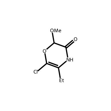 CCC1=C(Cl)OC(OC)C(=O)N1